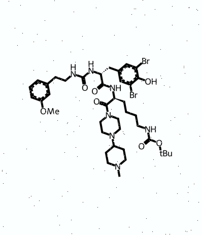 COc1cccc(CCNC(=O)N[C@H](Cc2cc(Br)c(O)c(Br)c2)C(=O)N[C@@H](CCCCNC(=O)OC(C)(C)C)C(=O)N2CCN(C3CCN(C)CC3)CC2)c1